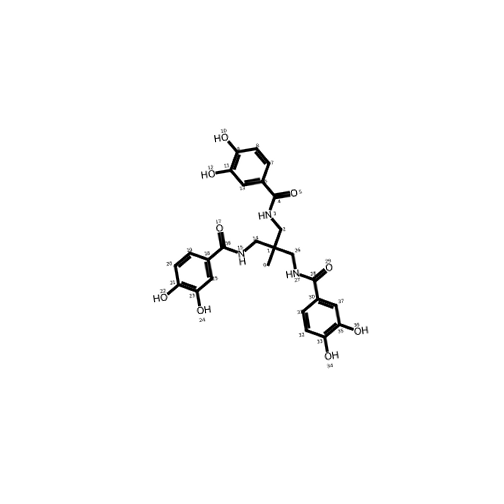 CC(CNC(=O)c1ccc(O)c(O)c1)(CNC(=O)c1ccc(O)c(O)c1)CNC(=O)c1ccc(O)c(O)c1